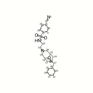 N#Cc1ccc(S(=O)(=O)NCCN2CC3CN(Cc4ccccc4)CC(C2)O3)cc1